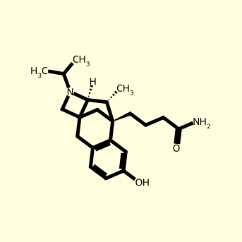 CC(C)N1CC23Cc4ccc(O)cc4[C@](CCCC(N)=O)(C2)[C@@H](C)[C@H]13